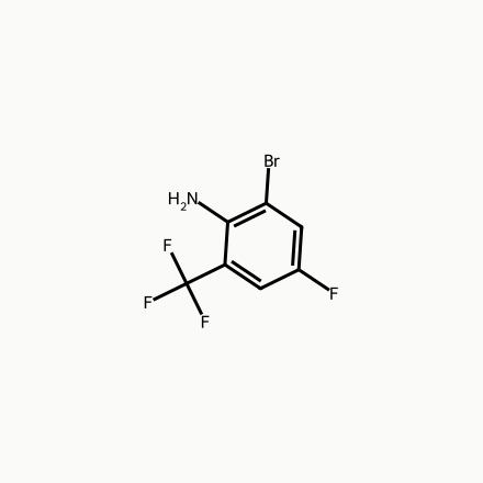 Nc1c(Br)cc(F)cc1C(F)(F)F